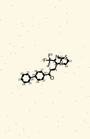 O=C(/C=C/c1c(C(F)(F)F)nc2sccn12)c1ccc(-c2ccccc2)cc1